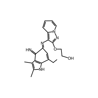 CCC1=CC(=Nc2c(OCCO)nn3ccccc23)C(=N)c2c1[nH]c(C)c2C